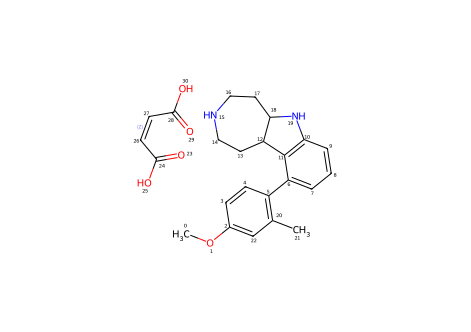 COc1ccc(-c2cccc3c2C2CCNCCC2N3)c(C)c1.O=C(O)/C=C\C(=O)O